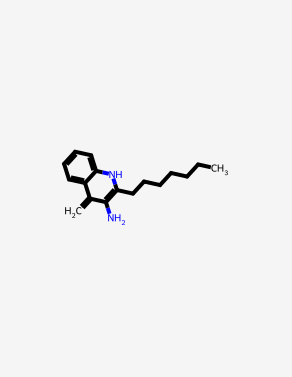 C=C1C(N)=C(CCCCCCC)Nc2ccccc21